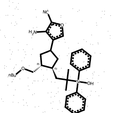 CCCCOC[C@@H]1CC(c2coc(C#N)c2N)C[C@H]1CC(C)(C)[Si](O)(c1ccccc1)c1ccccc1